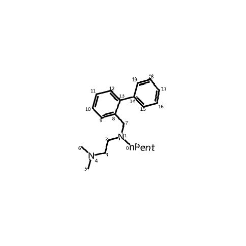 CCCCCN(CCN(C)C)Cc1ccccc1-c1ccccc1